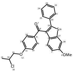 COc1ccc2c(C(=O)c3ccc(OCC(C)Cl)cc3)c(-c3ccccc3)sc2c1